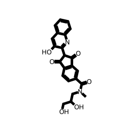 CN(CC(O)CO)C(=O)c1ccc2c(c1)C(=O)C(c1nc3ccccc3cc1O)C2=O